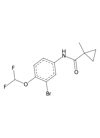 CC1(C(=O)Nc2ccc(OC(F)F)c(Br)c2)CC1